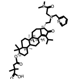 CC(C)C1=C2C(CC[C@]3(C)[C@@H]2CCC2[C@@]4(C)CC[C@H](OC(=O)CC(C)(C)C(=O)O)C(C)(C)C4CC[C@]23C)[C@H](CCN(CC(=O)N(C)C)Cc2ccccn2)C1=O